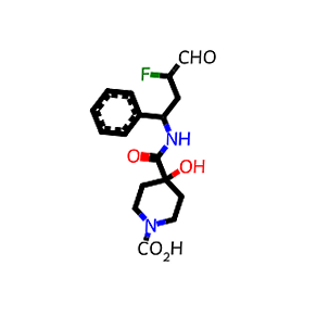 O=CC(F)CC(NC(=O)C1(O)CCN(C(=O)O)CC1)c1ccccc1